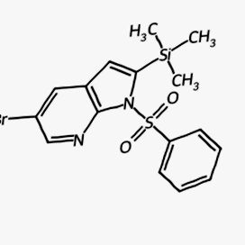 C[Si](C)(C)c1cc2cc(Br)cnc2n1S(=O)(=O)c1ccccc1